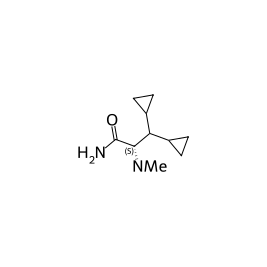 CN[C@H](C(N)=O)C(C1CC1)C1CC1